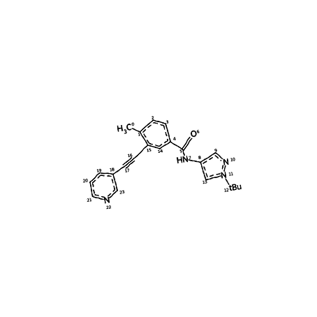 Cc1ccc(C(=O)Nc2cnn(C(C)(C)C)c2)cc1C#Cc1cccnc1